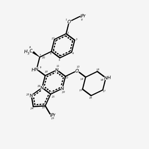 CC(C)Oc1cccc([C@H](C)Nc2nc(OC3CCCNC3)nc3c(C(C)C)cnn23)c1